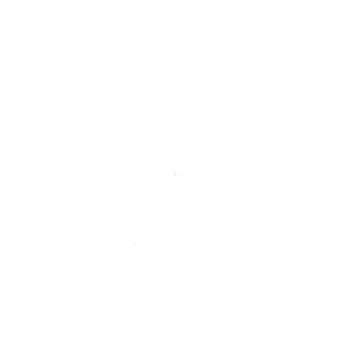 COCCOCC1CCC1